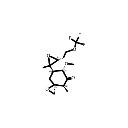 CO[C@@H]1C(=O)[C@@H](C)[C@]2(CO2)C[C@H]1C1(C)O[C@@H]1CCOC(F)(F)F